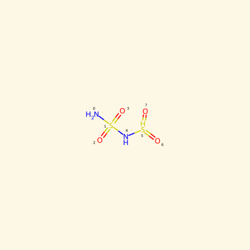 NS(=O)(=O)N[SH](=O)=O